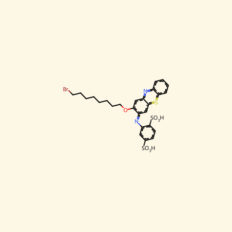 O=S(=O)(O)c1ccc(S(=O)(=O)O)c(N=c2cc3sc4ccccc4nc-3cc2OCCCCCCCCBr)c1